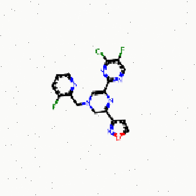 Fc1cnc(C2=CN(Cc3ncccc3F)CC(c3ccon3)=N2)nc1Cl